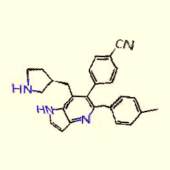 Cc1ccc(-c2nc3cc[nH]c3c(C[C@@H]3CCNC3)c2-c2ccc(C#N)cc2)cc1